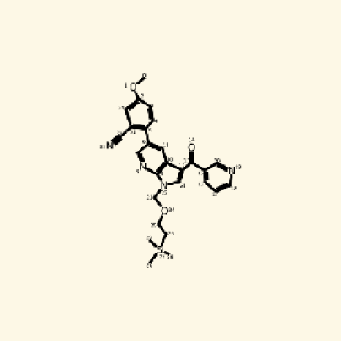 COc1ccc(-c2cnc3c(c2)c(C(=O)c2cccnc2)cn3COCC[Si](C)(C)C)c(C#N)c1